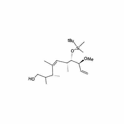 C=C[C@H](OC)[C@@H](O[Si](C)(C)C(C)(C)C)[C@H](C)/C=C(/C)[C@H](C)C(C)CO